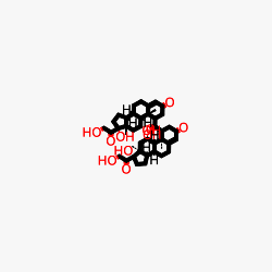 C[C@]12C[C@H](O)[C@H]3[C@@H](CCC4=CC(=O)CC(C(=O)C5CC(=O)C=C6CC[C@@H]7[C@H]([C@@H](O)C[C@@]8(C)[C@H]7CC[C@]8(O)C(=O)CO)[C@]65C)[C@@]43C)[C@@H]1CC[C@]2(O)C(=O)CO